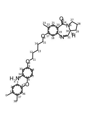 Cc1ccc(Oc2ccc(OCCCCCOc3cc4c(cc3C)C(=O)N3CCC[C@H]3C=N4)cc2N)cc1C